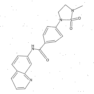 CN1CCN(c2ccc(C(=O)Nc3ccc4cccnc4c3)cc2)S1(=O)=O